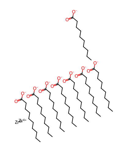 CCCCCCCCCC(=O)[O-].CCCCCCCCCC(=O)[O-].CCCCCCCCCC(=O)[O-].CCCCCCCCCC(=O)[O-].CCCCCCCCCC(=O)[O-].CCCCCCCCCC(=O)[O-].CCCCCCCCCC(=O)[O-].CCCCCCCCCC(=O)[O-].[Zr+4].[Zr+4]